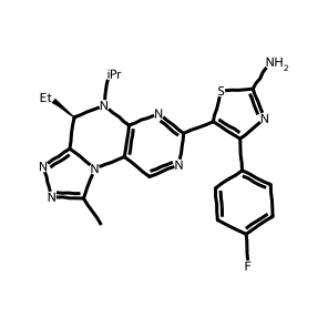 CC[C@@H]1c2nnc(C)n2-c2cnc(-c3sc(N)nc3-c3ccc(F)cc3)nc2N1C(C)C